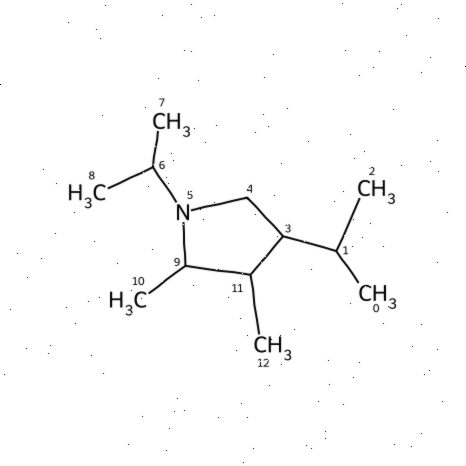 CC(C)C1CN(C(C)C)C(C)C1C